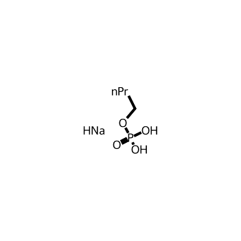 CCCCOP(=O)(O)O.[NaH]